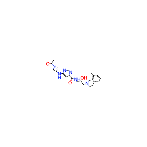 CC(=O)N1CC(Nc2cc(C(=O)NC[C@H](O)CN3CCc4cccc(C)c4C3)ncn2)C1